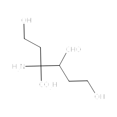 NC(CCO)(C(=O)O)C(C=O)CCO